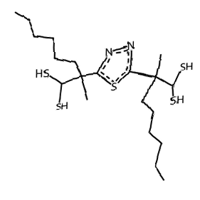 CCCCCCC(C)(c1nnc(C(C)(CCCCCC)C(S)S)s1)C(S)S